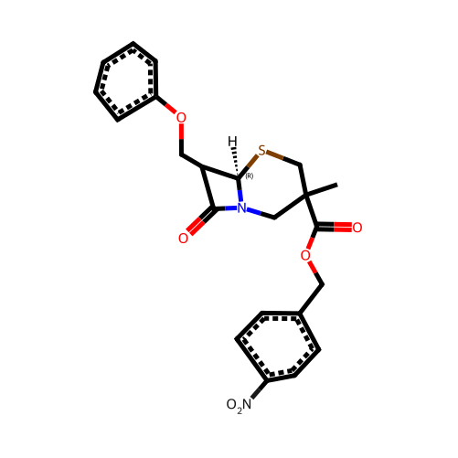 CC1(C(=O)OCc2ccc([N+](=O)[O-])cc2)CS[C@@H]2C(COc3ccccc3)C(=O)N2C1